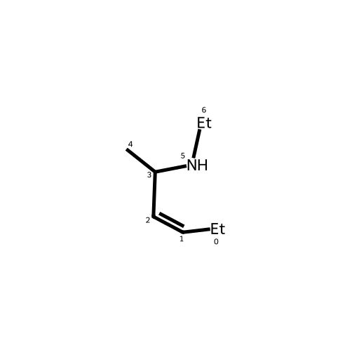 CC/C=C\C(C)NCC